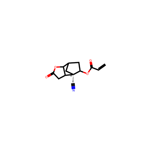 C=CC(=O)OC1CC2C[C@]1(C#N)C1CC(=O)OC21